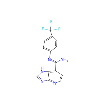 NC(=Nc1ccc(C(F)(F)F)cc1)c1ccnc2nc[nH]c12